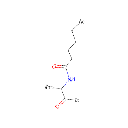 CCC(=O)[C@@H](NC(=O)CCCCC(C)=O)C(C)C